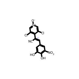 N#C/C(=C\c1cc(O)c(O)c([N+](=O)[O-])c1)c1c(Cl)c[n+]([O-])cc1Cl